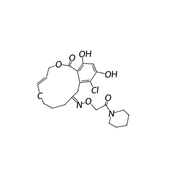 O=C1OC/C=C/CCCC/C(=N/OCC(=O)N2CCCCC2)Cc2c(Cl)c(O)cc(O)c21